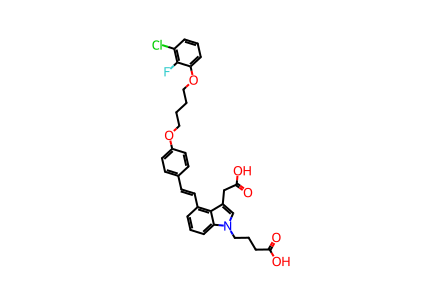 O=C(O)CCCn1cc(CC(=O)O)c2c(/C=C/c3ccc(OCCCCOc4cccc(Cl)c4F)cc3)cccc21